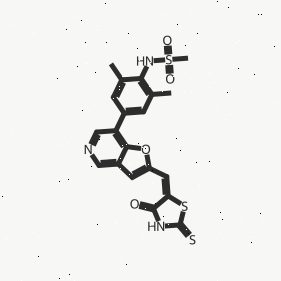 Cc1cc(-c2cncc3cc(C=C4SC(=S)NC4=O)oc23)cc(C)c1NS(C)(=O)=O